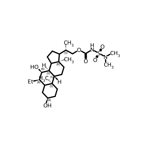 CC[C@@H]1C2C[C@H](O)CC[C@]2(C)[C@H]2CC[C@@]3(C)C(CCC3[C@H](C)COC(=O)NS(=O)(=O)N(C)C)[C@@H]2[C@@H]1O